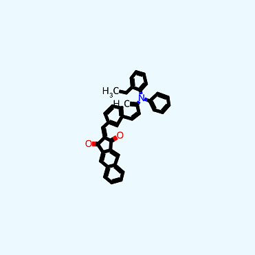 C=C(/C=C\c1cccc(C=C2C(=O)c3cc4ccccc4cc3C2=O)c1)N(c1ccccc1)c1ccccc1CC